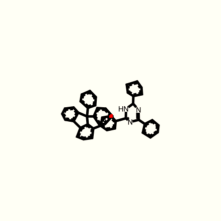 c1ccc(C2=NC(c3ccccc3)NC(c3ccc(-c4cccc5c4C(c4ccccc4)(c4ccccc4)c4ccccc4-5)cc3)=N2)cc1